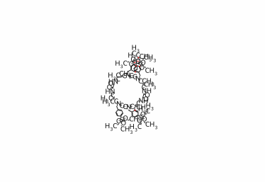 CCO[Si](OCC)(OCC)c1ccc(CN2CCN(Cc3ccc([Si](OCC)(OCC)OCC)cc3)CC(C)(C)CNC(=O)C(=O)NCC(C)(C)CN(Cc3ccc([Si](OCC)(OCC)OCC)cc3)CCN(Cc3ccc([Si](OCC)(OCC)OCC)cc3)CC(C)(C)CNC(=O)C(=O)NCC(C)(C)C2)cc1